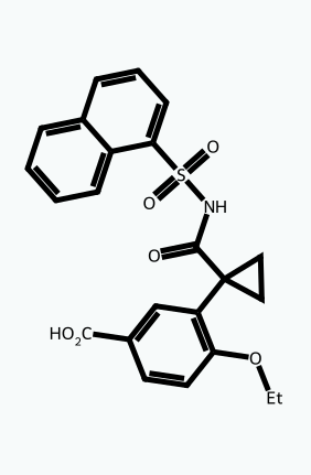 CCOc1ccc(C(=O)O)cc1C1(C(=O)NS(=O)(=O)c2cccc3ccccc23)CC1